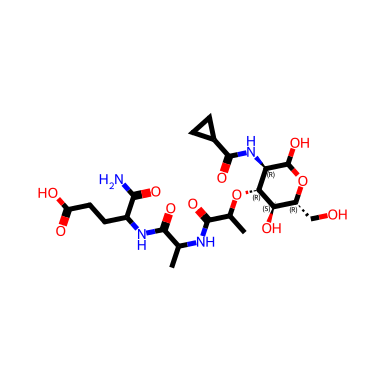 CC(NC(=O)C(C)O[C@H]1[C@H](O)[C@@H](CO)OC(O)[C@@H]1NC(=O)C1CC1)C(=O)NC(CCC(=O)O)C(N)=O